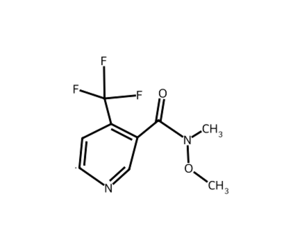 CON(C)C(=O)c1cn[c]cc1C(F)(F)F